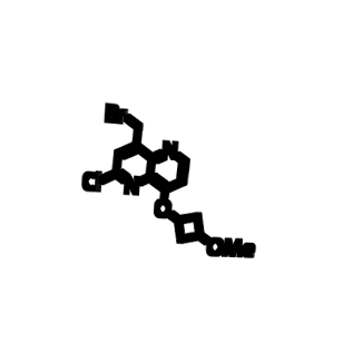 COC1CC(Oc2ccnc3c(CBr)cc(Cl)nc23)C1